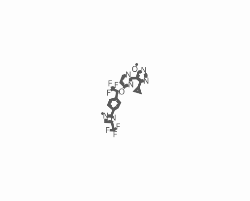 COc1ncnc(C2CC2)c1-c1nccc(O[C@H](c2ccc(-c3nc(C(F)(F)F)cn3C)cc2)C(F)(F)F)n1